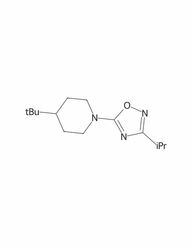 CC(C)c1noc(N2CCC(C(C)(C)C)CC2)n1